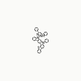 C1=C(c2ccccc2)NC(n2c3ccccc3c3cc4c5c6sc7ccccc7c6ccc5n(-c5ccccc5)c4cc32)N=C1c1ccccc1